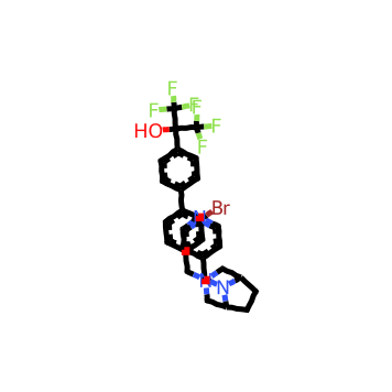 OC(c1ccc(-c2ccc(CN3CC4CCC(C3)N4Cc3ccncc3)cc2Br)cc1)(C(F)(F)F)C(F)(F)F